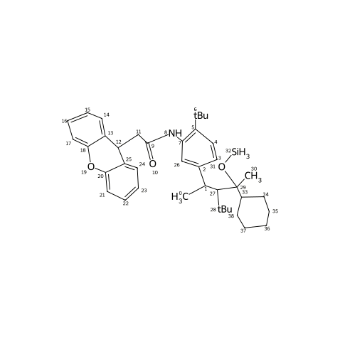 CC(c1ccc(C(C)(C)C)c(NC(=O)CC2c3ccccc3Oc3ccccc32)c1)C(C(C)(C)C)C(C)(O[SiH3])C1CCCCC1